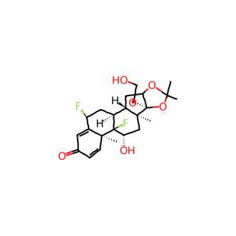 CC1(C)OC2C[C@H]3[C@@H]4C[C@H](F)C5=CC(=O)C=C[C@]5(C)[C@@]4(F)[C@@H](O)C[C@]3(C)[C@]2(C(=O)CO)O1